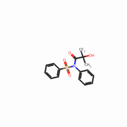 CC(O)(C(=O)N(c1ccccc1)S(=O)(=O)c1ccccc1)C(F)(F)F